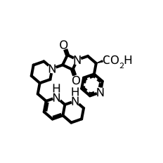 O=C(O)[C@H](CN1C(=O)C(N2CCCC(CC3=CC=C4CCCNC4N3)C2)C1=O)c1cccnc1